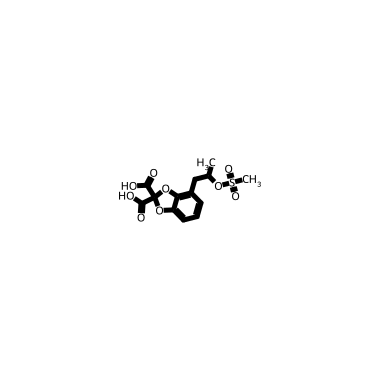 CC(Cc1cccc2c1OC(C(=O)O)(C(=O)O)O2)OS(C)(=O)=O